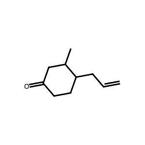 C=CCC1CCC(=O)CC1C